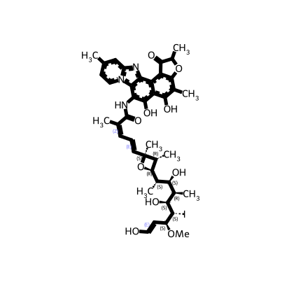 CO[C@@H](/C=C/O)[C@@H](I)[C@@H](O)[C@H](C)[C@H](O)[C@H](C)[C@H]1O[C@@](C)(/C=C/C=C(/C)C(=O)Nc2c(O)c3c(O)c(C)c4c(c3c3nc5cc(C)ccn5c23)C(=O)C(C)O4)[C@@H]1C